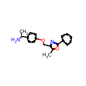 Cc1oc(-c2ccccc2)nc1COc1ccc([C@H](C)N)cc1